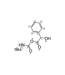 CC(C)(C)NC(=O)OC(=O)C(O)c1ccccc1